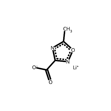 Cc1nc(C(=O)[O-])no1.[Li+]